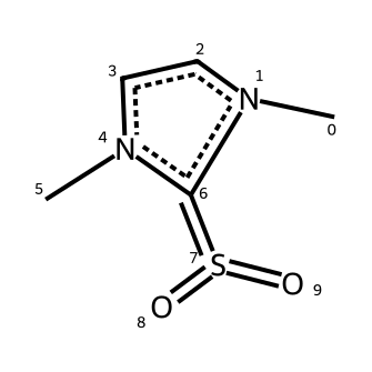 Cn1ccn(C)c1=S(=O)=O